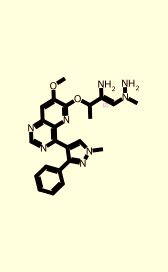 COc1cc2ncnc(-c3cn(C)nc3-c3ccccc3)c2nc1OC(C)/C(N)=C/N(C)N